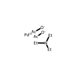 CC(=O)[O-].CC(=O)[O-].CCN(CC)CC.[Pd+2]